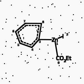 CCO[C](=O)[Zn]([I])[c]1ccccc1